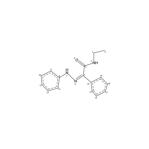 CCNC(=O)/C(=N\Nc1ccccc1)c1ccccc1